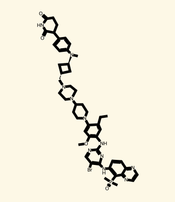 CCc1cc(Nc2ncc(Br)c(Nc3ccc4nccnc4c3P(C)(C)=O)n2)c(OC)cc1N1CCC(N2CCN(C[C@H]3C[C@H](N(C)c4ccc(C5CCC(=O)NC5=O)cc4)C3)CC2)CC1